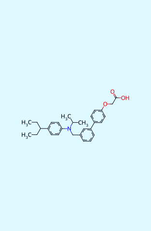 CCC(CC)c1ccc(N(Cc2cccc(-c3ccc(OCC(=O)O)cc3)c2)C(C)C)cc1